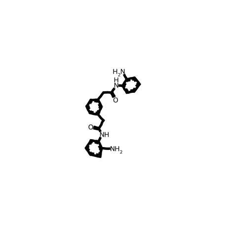 Nc1ccccc1NC(=O)Cc1cccc(CC(=O)Nc2ccccc2N)c1